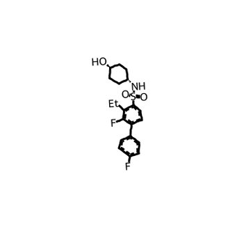 CCc1c(S(=O)(=O)N[C@H]2CC[C@H](O)CC2)ccc(-c2ccc(F)cc2)c1F